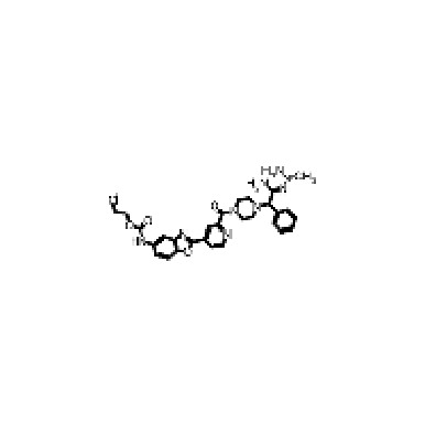 CN(N)/N=C(\N)C(c1ccccc1)N1CCN(C(=O)c2cc(-c3nc4cc(NC(=O)OCCCl)ccc4o3)ccn2)CC1